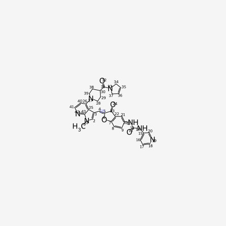 Cn1cc(/C=C2\Oc3ccc(NC(=O)Nc4cccnc4)cc3C2=O)c2c(N3CCC(C(=O)N4CC=CC4)CC3)ccnc21